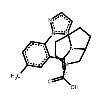 Cc1ccc(-n2nccn2)c(C(=O)N2C3CCC2CN(C(=O)O)CC3)c1